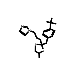 CC1CSC(CCCn2ccnc2)(Cc2ccc(C(C)(C)C)cc2)S1